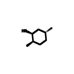 C[C@@H]1CC[C@@H](C)[C@@H](O)C1